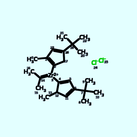 CC1=[C]([Zr+2]([C]2=CC(C(C)(C)C)=CC2C)=[C](C)C)CC(C(C)(C)C)=C1.[Cl-].[Cl-]